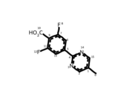 Cc1cnc(-c2cc(F)c(C(=O)O)c(F)c2)nc1